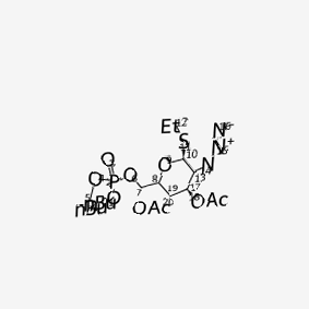 CCCCOP(=O)(OCCCC)OCC1O[C@@H](SCC)C(N=[N+]=[N-])[C@@H](OC(C)=O)[C@@H]1OC(C)=O